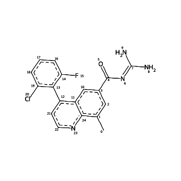 Cc1cc(C(=O)N=C(N)N)cc2c(-c3c(F)cccc3Cl)ccnc12